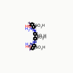 Nc1c(N=Nc2ccc(-c3ccc(N=Nc4cc(S(=O)(=O)O)c5ccc(I)c(O)c5c4N)cc3S(=O)(=O)O)c(S(=O)(=O)O)c2)cc(S(=O)(=O)O)c2ccc(I)c(O)c12